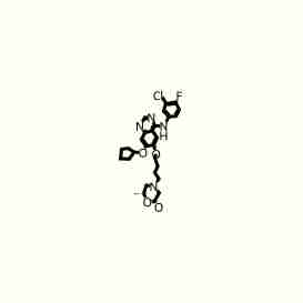 C[C@@H]1CN(CCCCOc2cc3c(Nc4ccc(F)c(Cl)c4)ncnc3cc2OC2CCCC2)CC(=O)O1